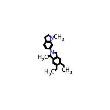 C=C1c2cc(CC)c(CC)cc2CN1c1ccc2c(c1)N(C)CC2